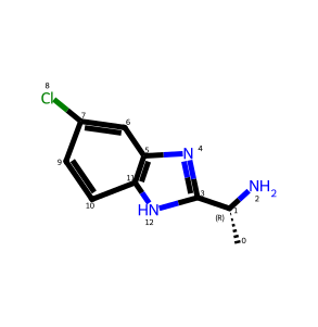 C[C@@H](N)c1nc2cc(Cl)ccc2[nH]1